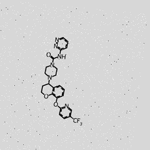 O=C(Nc1cccnn1)N1CCN(C2CCOc3c(Oc4ccc(C(F)(F)F)cn4)cccc32)CC1